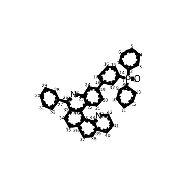 O=P(c1ccccc1)(c1ccccc1)c1cccc(-c2ccc3c(c2)nc(-c2ccccc2)c2ccc4ccc5cccnc5c4c23)c1